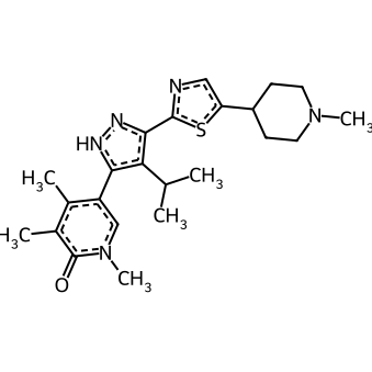 Cc1c(-c2[nH]nc(-c3ncc(C4CCN(C)CC4)s3)c2C(C)C)cn(C)c(=O)c1C